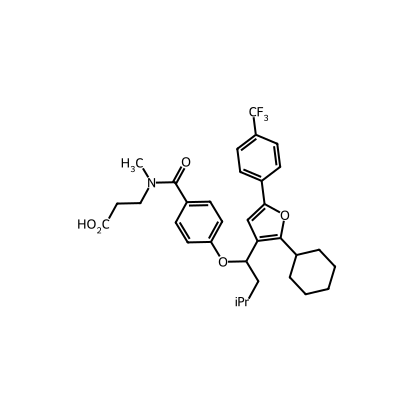 CC(C)CC(Oc1ccc(C(=O)N(C)CCC(=O)O)cc1)c1cc(-c2ccc(C(F)(F)F)cc2)oc1C1CCCCC1